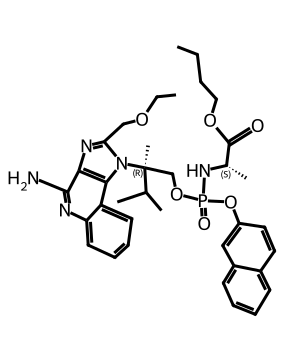 CCCCOC(=O)[C@H](C)NP(=O)(OC[C@@](C)(C(C)C)n1c(COCC)nc2c(N)nc3ccccc3c21)Oc1ccc2ccccc2c1